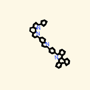 c1ccc(-c2ccc3c(n2)-c2nc(-c4ccc5nc(-c6ccc(-c7nc8c9ccccc9c9ccccc9c8c8ccccc78)cc6)ccc5c4)ccc2CC3)cc1